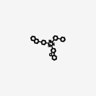 c1ccc(-c2cccc(-c3nc(-c4ccc(-c5ccc6ccccc6c5)cc4)nc(-c4ccc5c(c4)oc4ccccc45)n3)c2)cc1